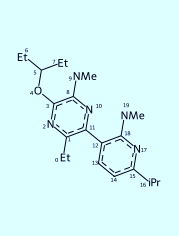 CCc1nc(OC(CC)CC)c(NC)nc1-c1ccc(C(C)C)nc1NC